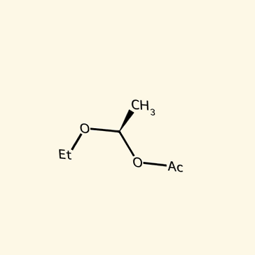 CCO[C@@H](C)OC(C)=O